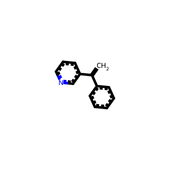 C=C(c1ccccc1)c1cccnc1